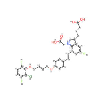 O=C(O)CCCc1cn(CC(=O)O)c2c(/C=C/c3ccc(OC/C=C/COc4c(F)ccc(F)c4Cl)cc3)cc(F)cc12